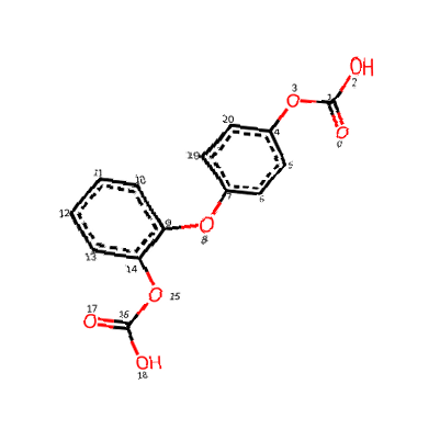 O=C(O)Oc1ccc(Oc2ccccc2OC(=O)O)cc1